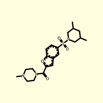 CC1CC(C)CN(S(=O)(=O)c2ccc3oc(C(=O)N4CCN(C)CC4)cc3c2)C1